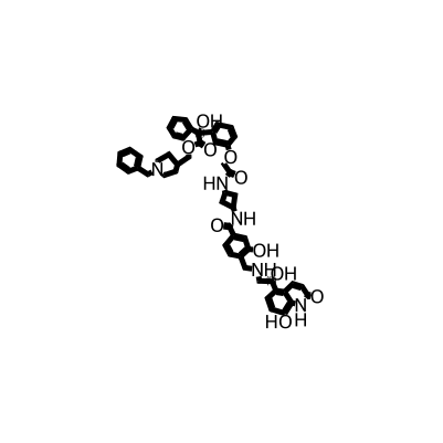 O=C(COc1cccc([C@](O)(C(=O)OCC2CCN(Cc3ccccc3)CC2)c2ccccc2)c1)NC1CC(NC(=O)c2ccc(CNC[C@H](O)c3ccc(O)c4[nH]c(=O)ccc34)c(O)c2)C1